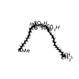 CNCCCCCCCCCCCCCCCCCC(=O)NC(CCSSCCC(NC(=O)CCCCCCCCCCCCCCCCCN(C)C)C(=O)O)C(=O)O